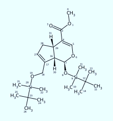 COC(=O)C1=CO[C@@H](O[Si](C)(C)C(C)(C)C)[C@@H]2C(CO[Si](C)(C)C(C)(C)C)=CC[C@H]12